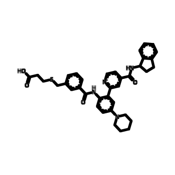 O=C(O)CCSCc1cccc(C(=O)Nc2ccc(N3CCCCC3)cc2-c2cc(C(=O)NC3CCc4ccccc43)ccn2)c1